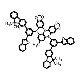 Cc1cc2c3c(c1)N(c1cc(-c4ccc5c(c4)C(C)(C)C4C=CC=CC54)cc(-c4cc5ccccc5o4)c1)c1cc4c(cc1B3c1cc3c(cc1N2c1cc(-c2ccc5c(c2)C(C)(C)c2ccccc2-5)cc(-c2cc5ccccc5o2)c1)OCO3)OCO4